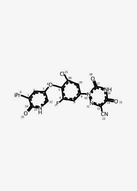 CC(C)c1cc(Oc2c(F)cc(-n3nc(C#N)c(=O)[nH]c3=O)cc2Cl)c[nH]c1=O